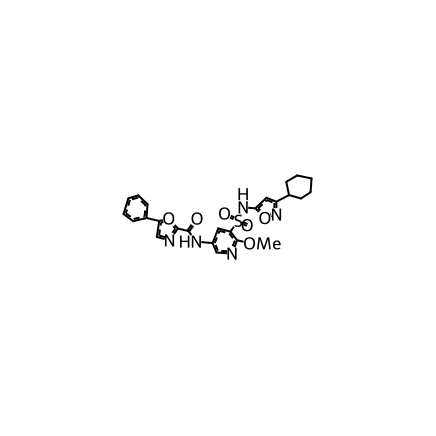 COc1ncc(NC(=O)c2ncc(-c3ccccc3)o2)cc1S(=O)(=O)Nc1cc(C2CCCCC2)no1